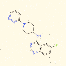 Fc1ccc2ncnc(NC3CCN(c4cccnn4)CC3)c2c1